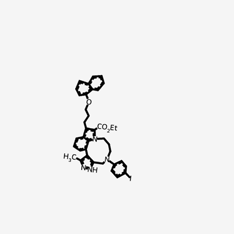 CCOC(=O)c1c(CCCOc2cccc3ccccc23)c2cccc3c2n1CCCN(c1ccc(I)cc1)Cc1[nH]nc(C)c1-3